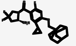 O=C(O)[C@@H]1CC(F)(F)CN1C(=O)c1cc(C2CC2)c(OCC23CC4CC(CC(C4)C2)C3)cc1F